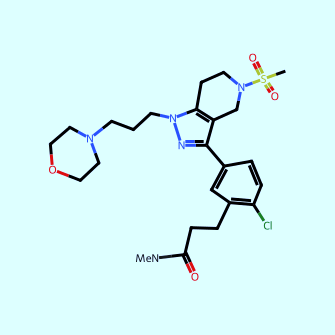 CNC(=O)CCc1cc(-c2nn(CCCN3CCOCC3)c3c2CN(S(C)(=O)=O)CC3)ccc1Cl